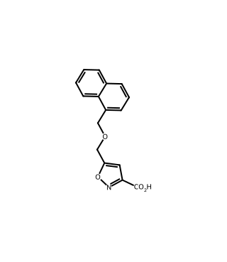 O=C(O)c1cc(COCc2cccc3ccccc23)on1